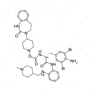 CN1CCC(CNc2ccccc2NC(=O)[C@@H](Cc2cc(Br)c(N)c(Br)c2)NC(=O)ON2CCC(N3CCc4ccccc4NC3=O)CC2)CC1